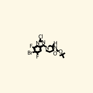 CC1(NC(=O)OC(C)(C)C)CCCN(c2nc(Cl)nc3c(F)c(Br)c(F)cc23)C1